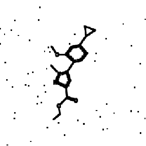 CCOC(=O)c1cc(-c2ccc(C3CC3)cc2OC)n(C)n1